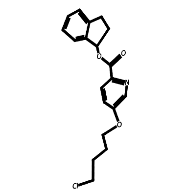 O=C(OC1CCc2ccccc21)c1ccc(OCCCCCl)cn1